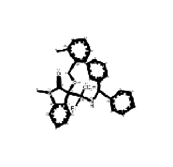 CC[C@](NC(c1ccccc1)c1ccccc1)(C(=O)O)C1(OCc2ccccc2C)C(=O)N(C)c2ccccc21